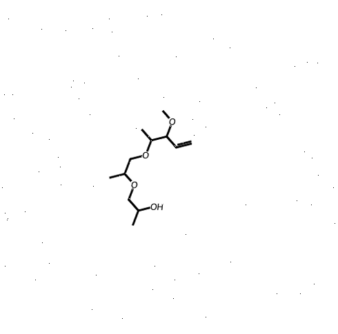 C=CC(OC)C(C)OCC(C)OCC(C)O